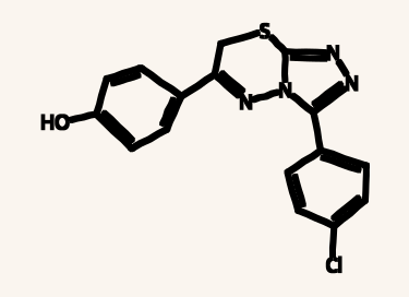 Oc1ccc(C2=Nn3c(nnc3-c3ccc(Cl)cc3)SC2)cc1